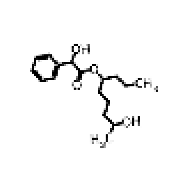 CCCC(CCCC(C)O)OC(=O)[C@H](O)c1ccccc1